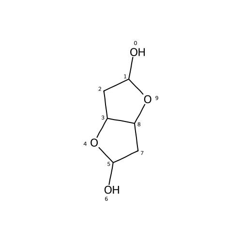 OC1CC2OC(O)CC2O1